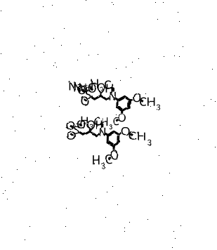 CCN(CC(O)CS(=O)(=O)[O-])c1cc(OC)cc(OC)c1.CCN(CC(O)CS(=O)(=O)[O-])c1cc(OC)cc(OC)c1.[Na+].[Na+]